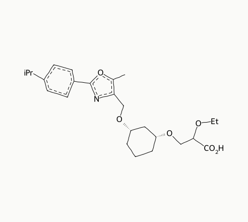 CCOC(CO[C@@H]1CCC[C@H](OCc2nc(-c3ccc(C(C)C)cc3)oc2C)C1)C(=O)O